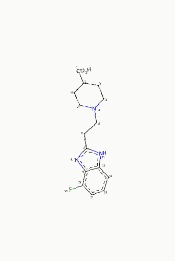 O=C(O)C1CCN(CCc2nc3c(F)cccc3[nH]2)CC1